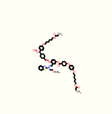 C=CC(=O)OCCCCCCOc1ccc(OC2CCC(C(=O)Oc3ccc(OOCC4CCC([C@H](OO)c5ccc(OCCCCCCOC(=O)C=C)cc5)CC4)c(/C=N/N(CCOCCCC)c4nc5ccccc5s4)c3)CC2)cc1